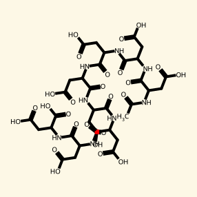 CC(=O)NC(CC(=O)O)C(=O)NC(CC(=O)O)C(=O)NC(CC(=O)O)C(=O)NC(CC(=O)O)C(=O)NC(CC(=O)O)C(=O)NC(CC(=O)O)C(=O)NC(CC(=O)O)C(=O)NC(CC(=O)O)C(=O)O